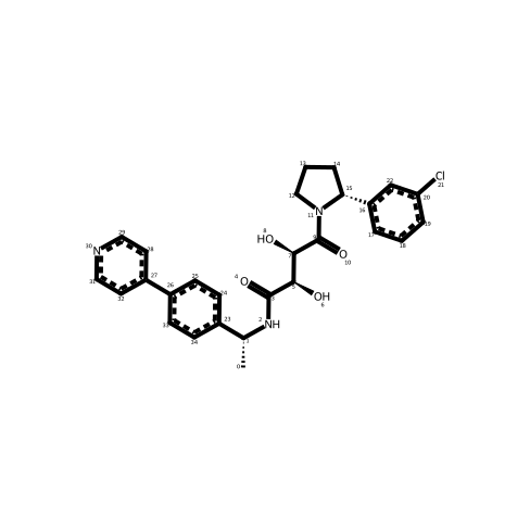 C[C@@H](NC(=O)[C@H](O)[C@@H](O)C(=O)N1CCC[C@@H]1c1cccc(Cl)c1)c1ccc(-c2ccncc2)cc1